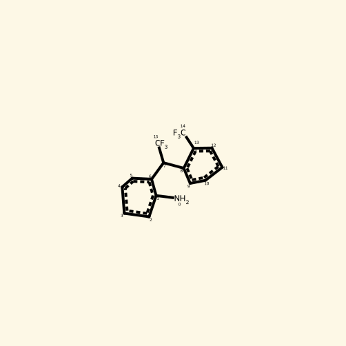 Nc1ccccc1C(c1ccccc1C(F)(F)F)C(F)(F)F